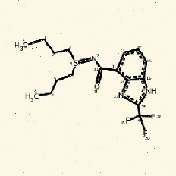 CCCCS(CCCC)=NC(=O)c1cccc2[nH]c(C(F)(F)F)nc12